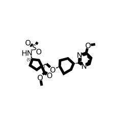 COC(=O)[C@@]1(CO[C@H]2CC[C@@H](c3nccc(OC)n3)CC2)CC[C@H](NS(C)(=O)=O)C1